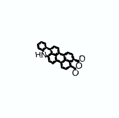 O=c1oc(=O)c2ccc3c4ccc5c6ccccc6[nH]c6ccc(c7ccc1c2c73)c4c65